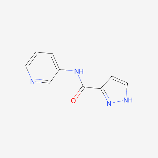 O=C(Nc1cccnc1)c1cc[nH]n1